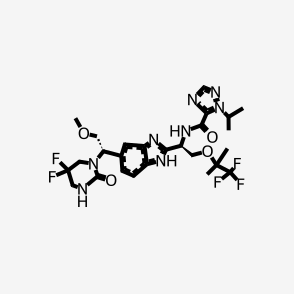 COC[C@H](c1ccc2[nH]c([C@H](COC(C)(C)C(F)(F)F)NC(=O)c3ncnn3C(C)C)nc2c1)N1CC(F)(F)CNC1=O